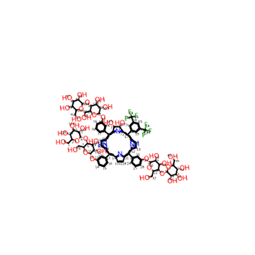 OCC1O[C@@H](O[C@@H]2C(CO)O[C@@H](Oc3cccc(-c4c5nc(c(-c6cccc(O[C@@H]7OC(CO)[C@@H](O[C@@H]8OC(CO)[C@H](O)C(O)[C@@H]8O)C(O)[C@@H]7O)c6)c6ccc([nH]6)c(-c6cc(C(F)(F)F)cc(C(F)(F)F)c6)c6nc(c(-c7cccc(O[C@@H]8OC(CO)[C@@H](O[C@@H]9OC(CO)[C@H](O)C(O)[C@@H]9O)C(O)[C@@H]8O)c7)c7ccc4[nH]7)[C@@H](O)[C@H]6O)C=C5)c3)[C@@H](O)C2O)[C@@H](O)C(O)[C@H]1O